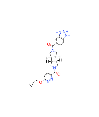 O=C(c1ccc2c(c1)NNN2)N1C[C@@H]2[C@H](C1)[C@H]1CN(C(=O)c3ccc(OCC4CC4)nn3)C[C@@H]21